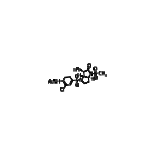 CCC[C@H]1C(=O)N(S(C)(=O)=O)[C@H]2CCN(S(=O)(=O)c3ccc(NC(C)=O)c(Cl)c3)[C@H]12